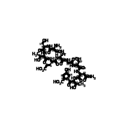 CC(C)[C@H](NC(=O)[C@H](CCC(=O)O)NC(=O)[C@@H](NC(=O)[C@H](CO)NC(=O)[C@@H](N)CO)[C@@H](C)O)C(=O)NCC(=O)N[C@@H](CO)C(=O)N[C@@H](CC(N)=O)C(=O)N[C@H](C(=O)N1C[C@H](O)C[C@H]1C(=O)O)[C@@H](C)O